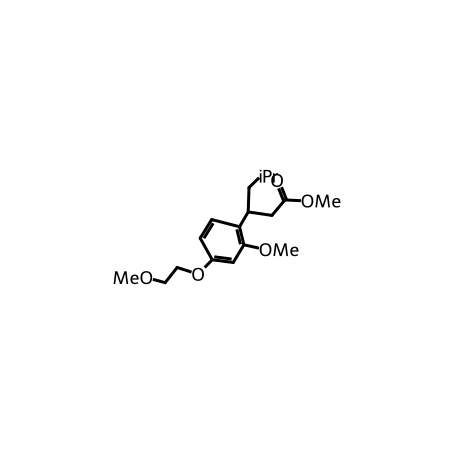 COCCOc1ccc(C(CC(=O)OC)CC(C)C)c(OC)c1